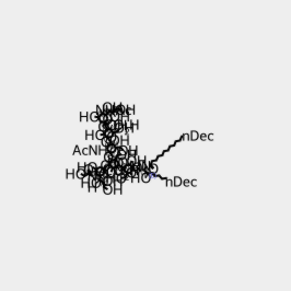 CCCCCCCCCCCCC/C=C/[C@@H](O)[C@H](CO[C@@H]1OC(CO)[C@@H](O[C@@H]2OC(CO)[C@H](O[C@@H]3OC(CO)[C@H](O)[C@H](O[C@@H]4OC(CO)[C@H](O)[C@H](O[C@]5(C(=O)O)CC(O)[C@@H](NC(C)=O)C([C@H](O)[C@H](O)CO)O5)C4O)C3NC(C)=O)[C@H](O[C@]3(C(=O)O)CC(O)[C@@H](NC(=O)CO)C([C@H](O)[C@H](O)CO)O3)C2O)[C@H](O)C1O)NC(=O)CCCCCCCCCCCCCCCCCCCCC